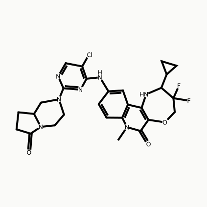 Cn1c(=O)c2c(c3cc(Nc4nc(N5CCN6C(=O)CCC6C5)ncc4Cl)ccc31)NC(C1CC1)C(F)(F)CO2